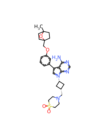 CC12CCC(COc3cccc(-c4cn([C@H]5C[C@@H](CN6CCS(=O)(=O)CC6)C5)c5ncnc(N)c45)c3)(CC1)O2